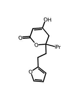 CC(C)C1(CCc2ccco2)CC(O)=CC(=O)O1